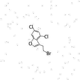 Clc1cc(Cl)c2c(CCBr)coc2c1